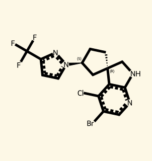 FC(F)(F)c1ccn([C@H]2CC[C@@]3(CNc4ncc(Br)c(Cl)c43)C2)n1